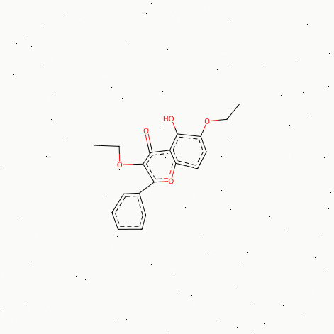 CCOc1ccc2oc(-c3ccccc3)c(OCC)c(=O)c2c1O